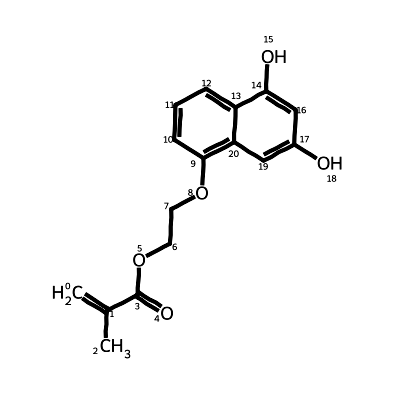 C=C(C)C(=O)OCCOc1cccc2c(O)cc(O)cc12